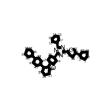 c1ccc(-c2ccc(-c3nc(-c4ccccc4)nc(-c4ccc5c(c4)oc4cccc(-c6ccc(-c7ccccc7)cc6)c45)n3)cc2)cc1